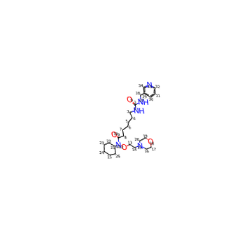 O=C(NCCCCCCC(=O)N(OCCN1CCOCC1)C1CCCCC1)NCc1cccnc1